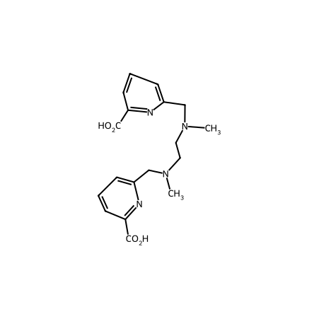 CN(CCN(C)Cc1cccc(C(=O)O)n1)Cc1cccc(C(=O)O)n1